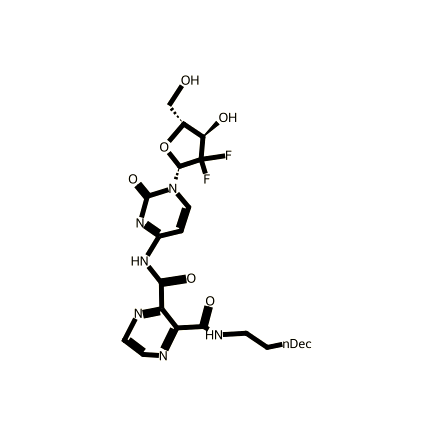 CCCCCCCCCCCCNC(=O)c1nccnc1C(=O)Nc1ccn([C@@H]2O[C@H](CO)[C@@H](O)C2(F)F)c(=O)n1